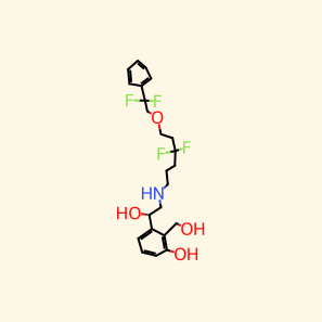 OCc1c(O)cccc1[C@@H](O)CNCCCC(F)(F)CCOCC(F)(F)c1ccccc1